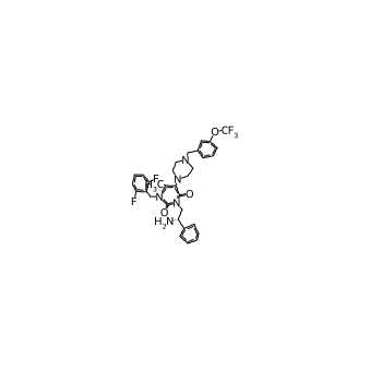 Cc1c(N2CCN(Cc3cccc(OC(F)(F)F)c3)CC2)c(=O)n(C[C@@H](N)c2ccccc2)c(=O)n1Cc1c(F)cccc1F